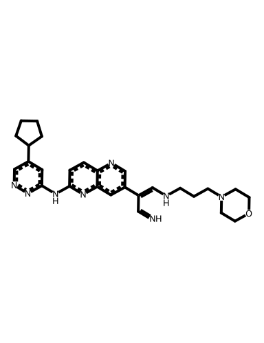 N=C/C(=C\NCCCN1CCOCC1)c1cnc2ccc(Nc3cc(C4CCCC4)cnn3)nc2c1